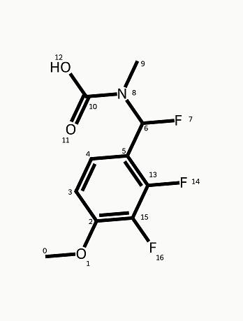 COc1ccc(C(F)N(C)C(=O)O)c(F)c1F